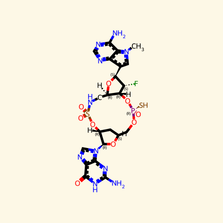 Cn1cc([C@@H]2O[C@@H]3CNS(=O)(=O)O[C@@H]4C[C@@H](CO[P@@](=O)(S)O[C@H]3[C@H]2F)O[C@H]4n2cnc3c(=O)[nH]c(N)nc32)c2ncnc(N)c21